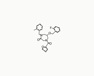 Cc1ccccc1CN1CC(OCc2ccccc2F)CN(C(=O)c2ccco2)CC1=O